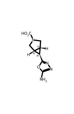 Nc1nnc([C@H]2[C@@H]3CN(C(=O)O)C[C@@H]32)o1